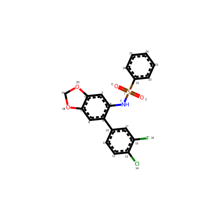 O=S(=O)(Nc1cc2c(cc1-c1ccc(Cl)c(F)c1)OCO2)c1ccccc1